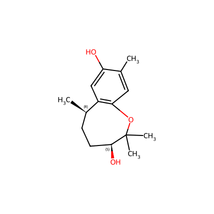 Cc1cc2c(cc1O)[C@H](C)CC[C@H](O)C(C)(C)O2